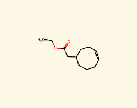 CCOC(=O)CC1CCC=CCCC1